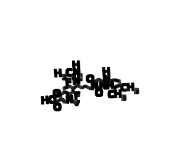 CCc1cc(Nc2cc(=O)n(CCCC(c3c(F)cc4c(=O)c(C(=O)O)cn(C5CC5)c4c3F)N3CCNC(C)C3)c(=O)[nH]2)ccc1C